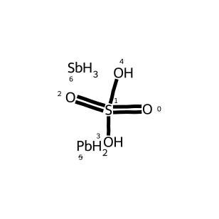 O=S(=O)(O)O.[PbH2].[SbH3]